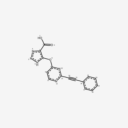 O=C(O)c1nn[nH]c1Oc1ccnc(C#Cc2ccccc2)n1